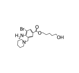 Nc1c(Br)cc(C(=O)OCCCCCO)cc1CN1CCCCC1